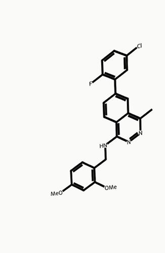 COc1ccc(CNc2nnc(C)c3cc(-c4cc(Cl)ccc4F)ccc23)c(OC)c1